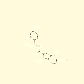 COc1ccc2c(cc(C(=O)N[C@H](CO)c3ccc(C(=O)O)cc3F)n2C)c1Cl